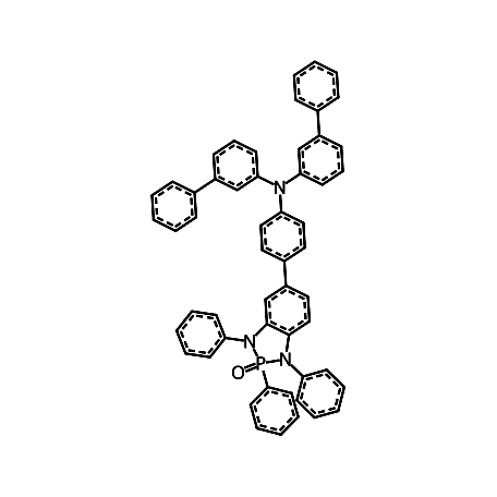 O=P1(c2ccccc2)N(c2ccccc2)c2ccc(-c3ccc(N(c4cccc(-c5ccccc5)c4)c4cccc(-c5ccccc5)c4)cc3)cc2N1c1ccccc1